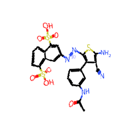 CC(=O)Nc1cccc(-c2c(/N=N/c3cc(S(=O)(=O)O)c4cccc(S(=O)(=O)O)c4c3)sc(N)c2C#N)c1